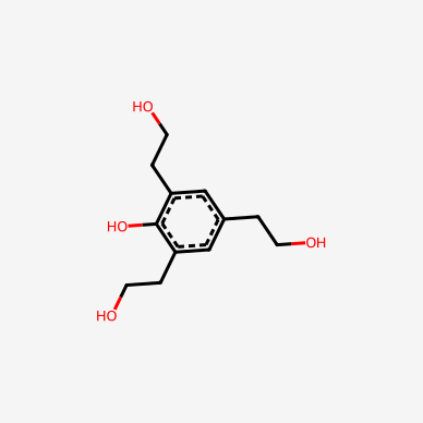 OCCc1cc(CCO)c(O)c(CCO)c1